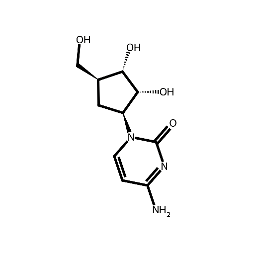 Nc1ccn([C@H]2C[C@@H](CO)[C@H](O)[C@@H]2O)c(=O)n1